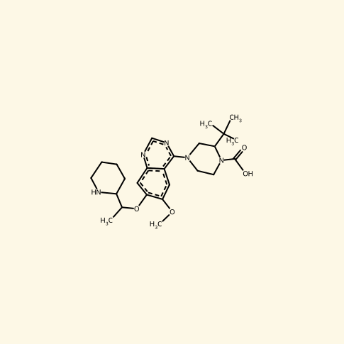 COc1cc2c(N3CCN(C(=O)O)C(C(C)(C)C)C3)ncnc2cc1OC(C)C1CCCCN1